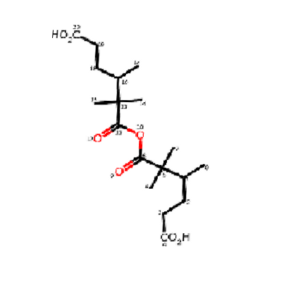 CC(CCC(=O)O)C(C)(C)C(=O)OC(=O)C(C)(C)C(C)CCC(=O)O